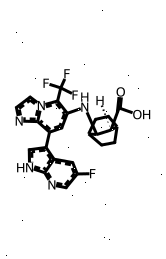 O=C(O)[C@H]1C2CCC(CC2)C1Nc1cc(-c2c[nH]c3ncc(F)cc23)c2nccn2c1C(F)(F)F